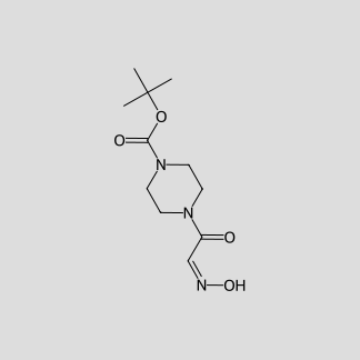 CC(C)(C)OC(=O)N1CCN(C(=O)/C=N\O)CC1